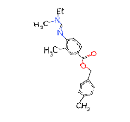 CCN(C)/C=N/c1ccc(C(=O)OCc2ccc(C)cc2)cc1C